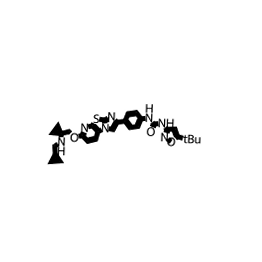 CC(C)(C)c1cc(NC(=O)Nc2ccc(-c3cn4c(n3)sc3nc(OCC5(NCC6CC6)CC5)ccc34)cc2)no1